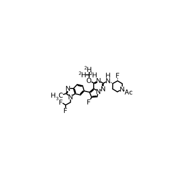 [2H]C([2H])([2H])Oc1nc(N[C@H]2CCN(C(C)=O)C[C@H]2F)nn2cc(F)c(-c3ccc4nc(C)n(CC(F)F)c4c3)c12